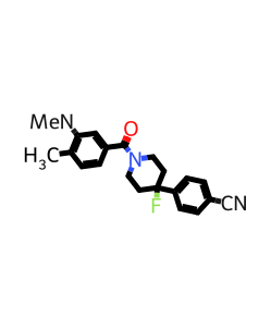 CNc1cc(C(=O)N2CCC(F)(c3ccc(C#N)cc3)CC2)ccc1C